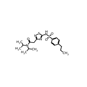 CCCc1ccc(S(=O)(=O)Nc2nc(CC(=O)N(C(C)C)C(C)C)ns2)cc1